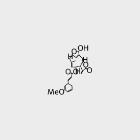 C=C1C(=O)O[C@H]2CC3=C[C@@H](C/C(C)=C/[C@@H](OC(=O)/C=C/C4C=C(OC)C=CC4)[C@H]12)OC3O